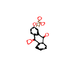 O=C1c2ccccc2C(=O)c2cc(O[SH](=O)=O)ccc21